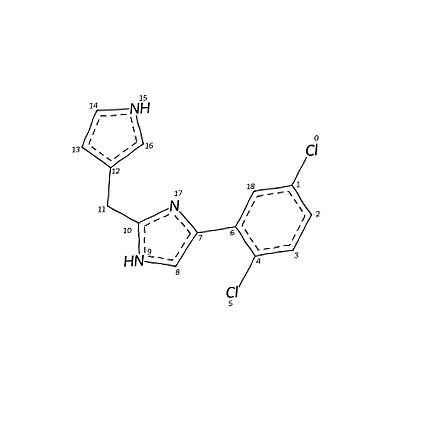 Clc1ccc(Cl)c(-c2c[nH]c(Cc3cc[nH]c3)n2)c1